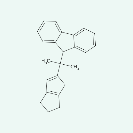 CC(C)(C1=CC2=C(CCC2)C1)C1c2ccccc2-c2ccccc21